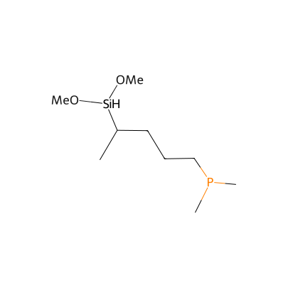 CO[SiH](OC)C(C)CCCP(C)C